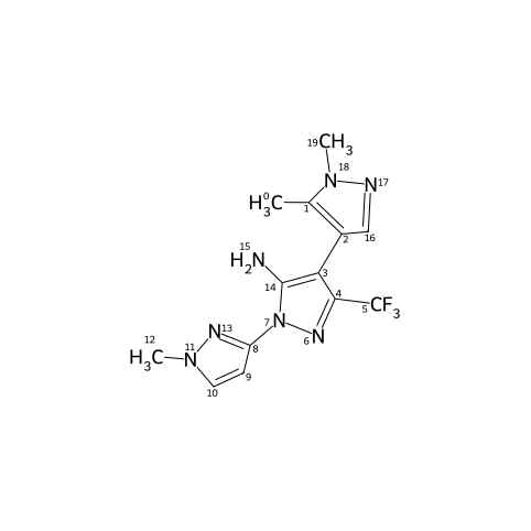 Cc1c(-c2c(C(F)(F)F)nn(-c3ccn(C)n3)c2N)cnn1C